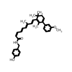 COc1cccc(C2=CCC(C)(C)C(/C=C/C(C)=C/C=C/C=C\C(=O)NCc3ccc(O)cc3)=C2C)c1